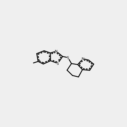 Cc1ccc2nc(SC3CCCc4cccnc43)sc2c1